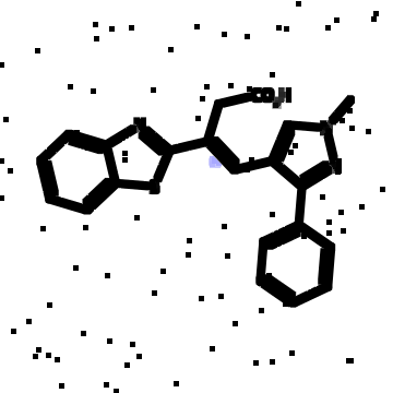 Cn1cc(/C=C(\CC(=O)O)c2nc3ccccc3s2)c(-c2ccccc2)n1